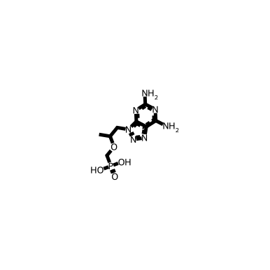 CC(Cn1nnc2c(N)nc(N)nc21)OCP(=O)(O)O